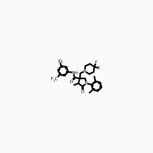 CCc1cc(NC(=O)C2(CN3CCC(F)(F)CC3)CN(c3c(C)cccc3C)C(=O)C2C)cc(C(F)(F)F)c1